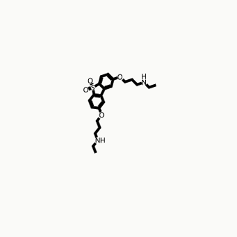 CCNCCCOc1ccc2c(c1)-c1cc(OCCCNCC)ccc1S2(=O)=O